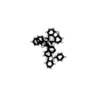 c1ccc(-c2nc(-c3ccccc3)nc(-c3cccc4oc5cccc(-c6nc(-c7ccc8c9ccccc9n(-c9ccccc9)c8c7)c7oc8ccccc8c7n6)c5c34)n2)cc1